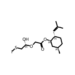 CC(C)=C[C@@H]1CC[C@@H](C)C[C@H]1OC(=O)CO[C@@H](O)CSI